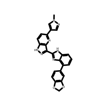 Cn1cc(-c2ccc3[nH]nc(-c4nc5c(-c6ccc7c(c6)OCO7)cccc5[nH]4)c3n2)cn1